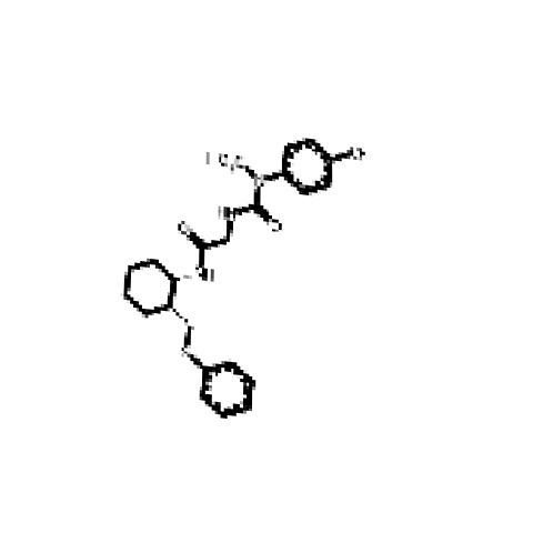 O=C(CNC(=O)N(C(=O)O)c1ccc(C(F)(F)F)cc1)N[C@H]1CCCC[C@H]1CSc1ccccc1